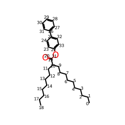 CCCCCCCCCCC(CCCCCCCC)C(=O)Oc1ccc(-c2ccccc2)cc1